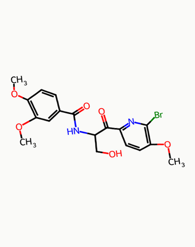 COc1ccc(C(=O)NC(CO)C(=O)c2ccc(OC)c(Br)n2)cc1OC